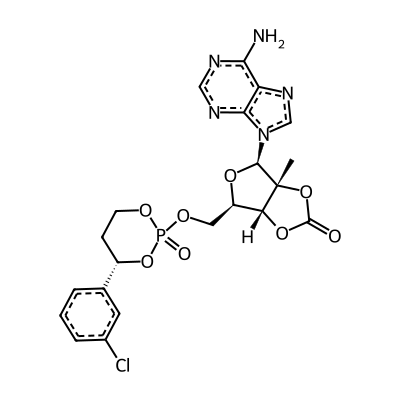 C[C@@]12OC(=O)O[C@@H]1[C@@H](COP1(=O)OCC[C@@H](c3cccc(Cl)c3)O1)O[C@H]2n1cnc2c(N)ncnc21